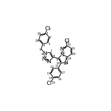 Clc1ccc(Cn2cc(-c3c(-c4ccc(Cl)cc4)nc4ccc(Cl)nn34)nn2)cc1